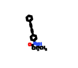 CCNN(C(C)=O)c1ccc(C#CC#Cc2ccccc2)cc1